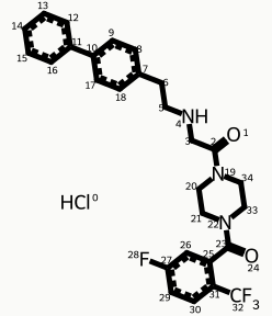 Cl.O=C(CNCCc1ccc(-c2ccccc2)cc1)N1CCN(C(=O)c2cc(F)ccc2C(F)(F)F)CC1